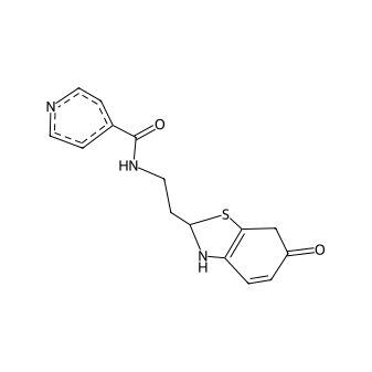 O=C1C=CC2=C(C1)SC(CCNC(=O)c1ccncc1)N2